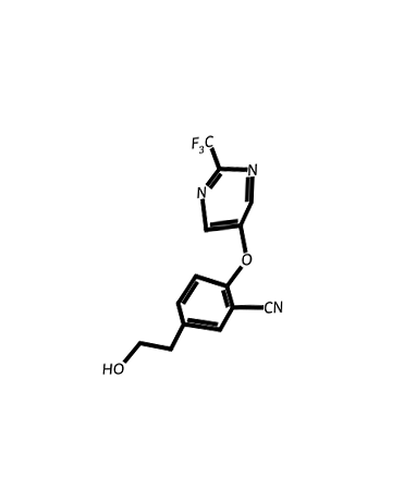 N#Cc1cc(CCO)ccc1Oc1cnc(C(F)(F)F)nc1